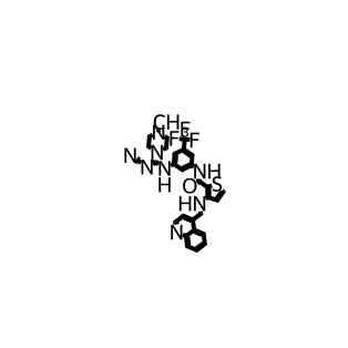 CN1CCN(/C(=N\C#N)Nc2cc(NC(=O)c3sccc3NCc3ccnc4ccccc34)cc(C(F)(F)F)c2)CC1